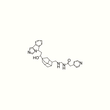 O=C(Cc1ccncc1)NCNCC1C2CC3CC1CC(C(O)CC1c4ccccc4-c4cncn41)(C3)C2